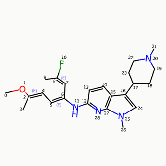 CO/C(C)=C/C=C(\C=C(/C)F)Nc1ccc2c(C3CCN(C)CC3)cn(C)c2n1